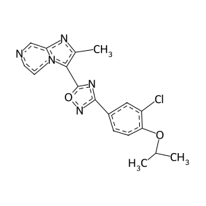 Cc1nc2cnccn2c1-c1nc(-c2ccc(OC(C)C)c(Cl)c2)no1